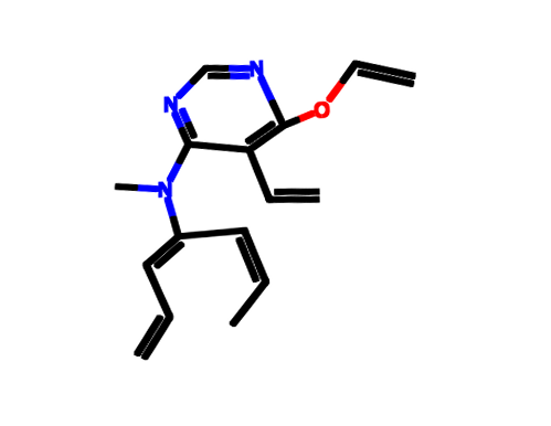 C=C/C=C(\C=C/C)N(C)c1ncnc(OC=C)c1C=C